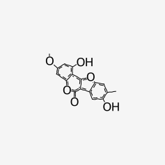 COc1cc(O)c2c(c1)oc(=O)c1c3cc(O)c(C)cc3oc21